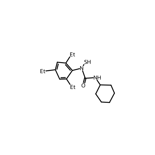 CCc1cc(CC)c(N(S)C(=O)NC2CCCCC2)c(CC)c1